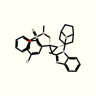 Cc1nc2ccccc2n1C1CC2CCC(C1)N2C[C@@H]1C[C@@]1(CN(C)S(=O)(=O)c1ccccc1)c1cccc(Cl)c1